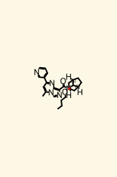 CCCCOC1C[C@H]2CC[C@@H](C1)C2NC(=O)c1ncn2c(C)cc(-c3cccnc3)nc12